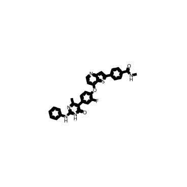 CNC(=O)c1ccc(-c2cc3nccc(Oc4ccc(-c5c(C)nc(Nc6ccccc6)[nH]c5=O)cc4F)c3s2)cc1